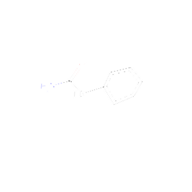 NC(=O)Bc1ccccc1